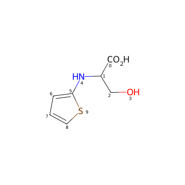 O=C(O)C(CO)Nc1cccs1